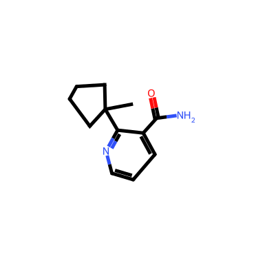 CC1(c2ncccc2C(N)=O)CCCC1